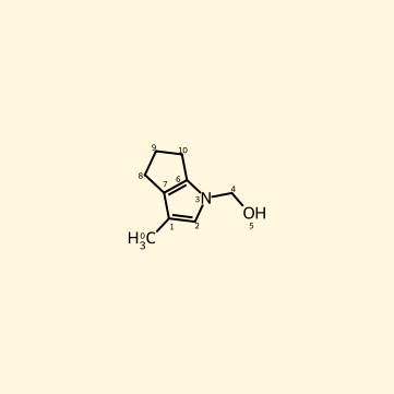 Cc1cn(CO)c2c1CCC2